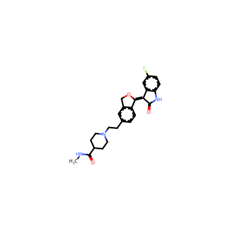 CNC(=O)C1CCN(CCc2ccc3c(c2)COC3=C2C(=O)Nc3ccc(F)cc32)CC1